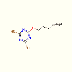 CCCCCCCCCCOc1nc(S)nc(S)n1